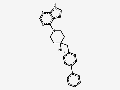 NC1(Cc2ccc(-c3ccccc3)cc2)CCN(c2ncnc3[nH]ccc23)CC1